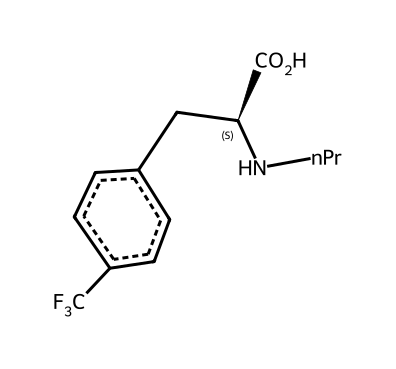 CCCN[C@@H](Cc1ccc(C(F)(F)F)cc1)C(=O)O